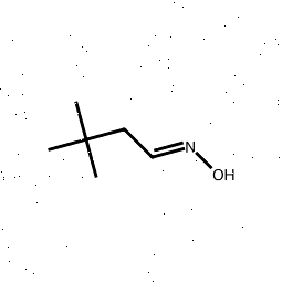 CC(C)(C)CC=NO